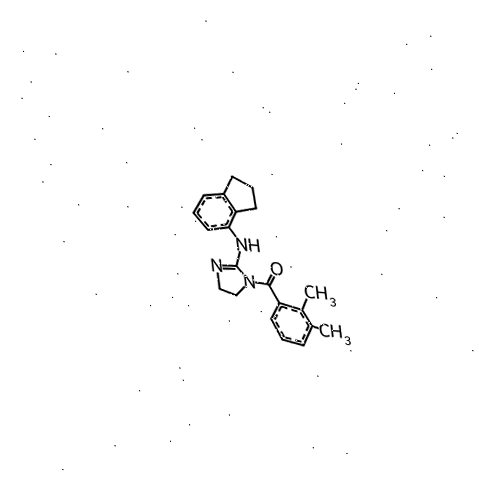 Cc1cccc(C(=O)N2CCN=C2Nc2cccc3c2CCC3)c1C